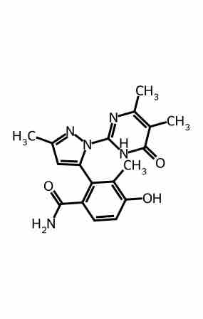 Cc1cc(-c2c(C(N)=O)ccc(O)c2C)n(-c2nc(C)c(C)c(=O)[nH]2)n1